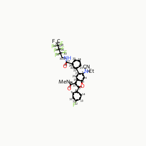 CCN(C#N)c1cc2oc(-c3ccc(F)cc3)c(C(=O)NC)c2cc1-c1cccc(C(=O)NCC(F)(F)C(F)(F)C(F)(F)C(F)(F)F)c1